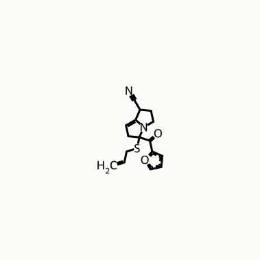 C=CCSC1(C(=O)c2ccco2)CC=C2C(C#N)CCN21